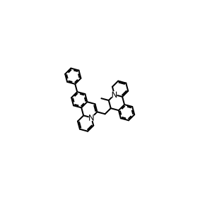 CC1C(CC2=Cc3cc(-c4ccccc4)ccc3C3C=CC=CN23)c2ccccc2C2=CC=CCN21